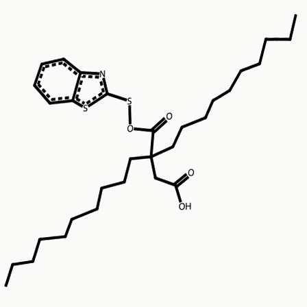 CCCCCCCCCCC(CCCCCCCCCC)(CC(=O)O)C(=O)OSc1nc2ccccc2s1